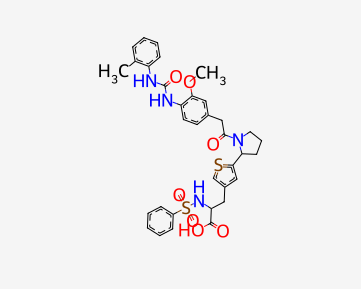 COc1cc(CC(=O)N2CCCC2c2cc(CC(NS(=O)(=O)c3ccccc3)C(=O)O)cs2)ccc1NC(=O)Nc1ccccc1C